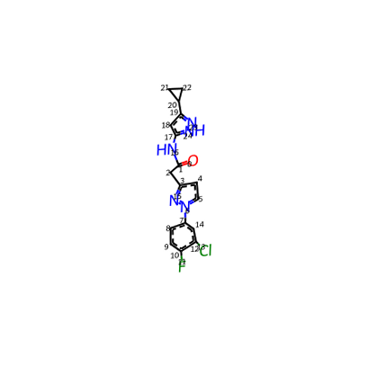 O=C(Cc1ccn(-c2ccc(F)c(Cl)c2)n1)Nc1cc(C2CC2)n[nH]1